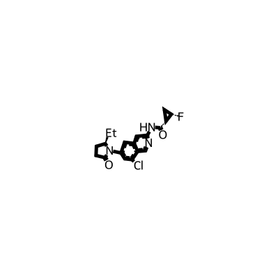 CC[C@@H]1CCC(=O)N1c1cc(Cl)c2cnc(NC(=O)[C@@H]3C[C@@H]3F)cc2c1